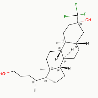 C[C@H](CCCO)[C@H]1CC[C@H]2[C@@H]3CC[C@H]4C[C@](O)(C(F)(F)F)CC[C@]4(C)[C@H]3CC[C@]12C